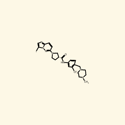 CN1CCN(Cc2ccc(NC(=O)[C@@H]3CCN(c4ccc5ncc(I)n5n4)C3)cc2C(F)(F)F)CC1